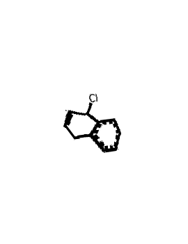 ClC1[C]=CCc2c[c]ccc21